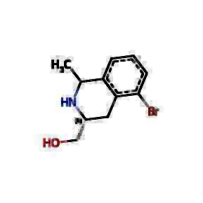 CC1N[C@@H](CO)Cc2c(Br)cccc21